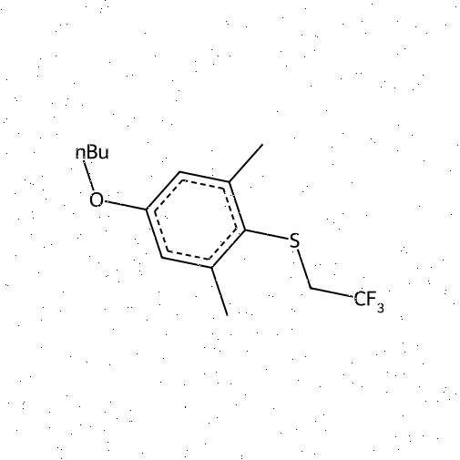 [CH2]CCCOc1cc(C)c(SCC(F)(F)F)c(C)c1